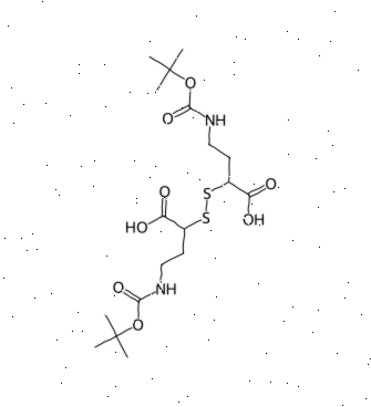 CC(C)(C)OC(=O)NCCC(SSC(CCNC(=O)OC(C)(C)C)C(=O)O)C(=O)O